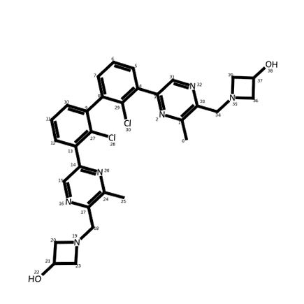 Cc1nc(-c2cccc(-c3cccc(-c4cnc(CN5CC(O)C5)c(C)n4)c3Cl)c2Cl)cnc1CN1CC(O)C1